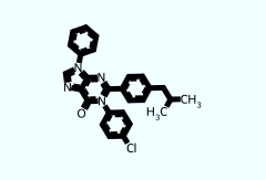 CC(C)Cc1ccc(-c2nc3c(ncn3-c3ccccc3)c(=O)n2-c2ccc(Cl)cc2)cc1